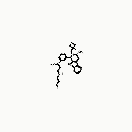 C[C@@H]1Cc2c([nH]c3ccccc23)[C@@H](c2cccc(N(C)CCNCCCF)c2)N1CC1(F)COC1